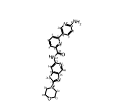 Nc1ccc(-c2cccc(C(=O)Nc3cc4sc(N5CCOCC5)nc4cn3)n2)cn1